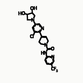 O=C(Nc1ccc(C(F)(F)F)cn1)N1CC=C(c2ncc(N3CC(O)C(O)C3)cc2Cl)CC1